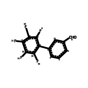 O=Cc1cccc(-c2c(F)c(F)c(F)c(F)c2F)c1